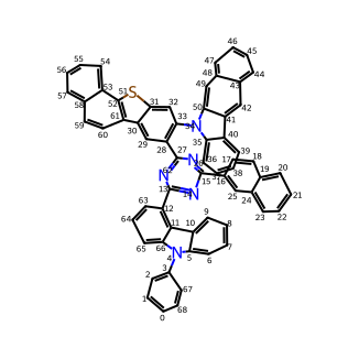 c1ccc(-n2c3ccccc3c3c(-c4nc(-c5ccc6ccccc6c5)nc(-c5cc6c(cc5-n5c7ccccc7c7cc8ccccc8cc75)sc5c7ccccc7ccc65)n4)cccc32)cc1